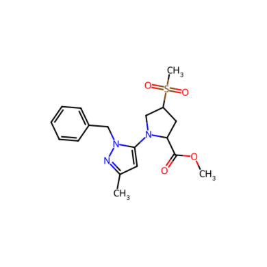 COC(=O)C1CC(S(C)(=O)=O)CN1c1cc(C)nn1Cc1ccccc1